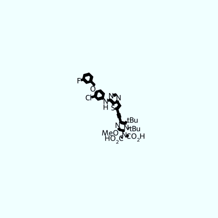 COC1=NC(C#Cc2cc3ncnc(Nc4ccc(OCc5cccc(F)c5)c(Cl)c4)c3s2)=C(C(C)(C)C)N(C(C)(C)C)C1N(C(=O)O)C(=O)O